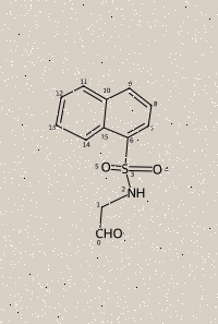 O=[C]CNS(=O)(=O)c1cccc2ccccc12